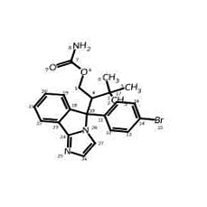 CC(C)(C)C(COC(N)=O)C1(c2ccc(Br)cc2)c2ccccc2-c2nccn21